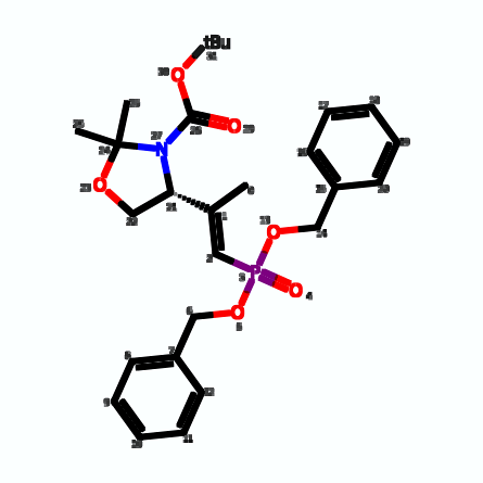 C/C(=C\P(=O)(OCc1ccccc1)OCc1ccccc1)[C@@H]1COC(C)(C)N1C(=O)OC(C)(C)C